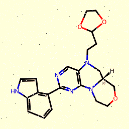 c1cc(-c2ncc3c(n2)N2CCOC[C@H]2CN3CCC2OCCO2)c2cc[nH]c2c1